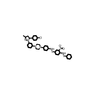 CC1=NN(c2cccc(N3CCN(c4ccc(NSc5ccc(NSc6ccccc6)c([N+](=O)[O-])c5)cc4)CC3)c2)C(c2ccc(Cl)cc2)C1